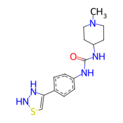 CN1CCC(NC(=O)Nc2ccc(C3=CSNN3)cc2)CC1